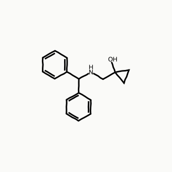 OC1(CNC(c2ccccc2)c2ccccc2)CC1